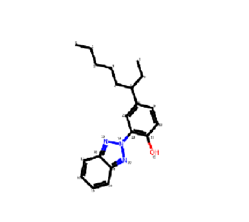 CCCCCC(CC)c1ccc(O)c(-n2nc3ccccc3n2)c1